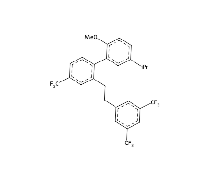 COc1ccc(C(C)C)cc1-c1ccc(C(F)(F)F)cc1CCc1cc(C(F)(F)F)cc(C(F)(F)F)c1